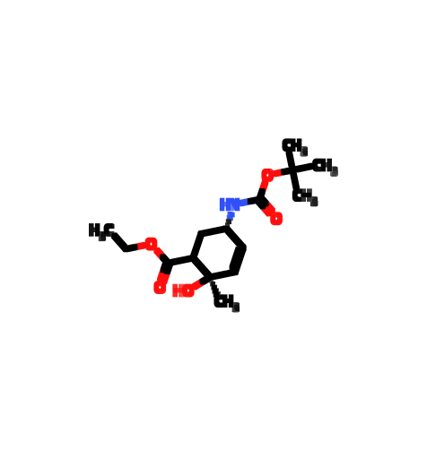 CCOC(=O)C1C[C@H](NC(=O)OC(C)(C)C)C=C[C@@]1(C)O